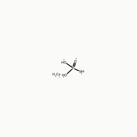 O=P(O)(O)[SiH].[CaH2]